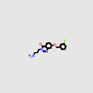 NCCCn1cnc2cc(OCc3cccc(F)c3)ccc2c1=O